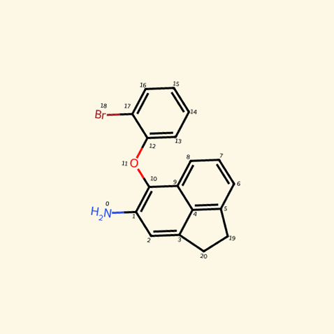 Nc1cc2c3c(cccc3c1Oc1ccccc1Br)CC2